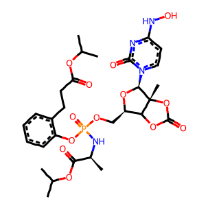 CC(C)OC(=O)CCc1ccccc1OP(=O)(N[C@@H](C)C(=O)OC(C)C)OC[C@H]1O[C@@H](n2ccc(NO)nc2=O)[C@]2(C)OC(=O)OC12